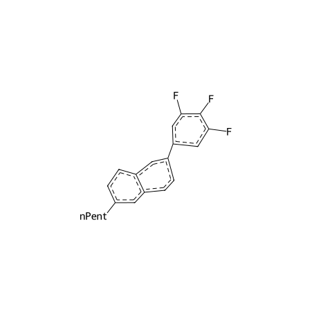 CCCCCc1ccc2cc(-c3cc(F)c(F)c(F)c3)ccc2c1